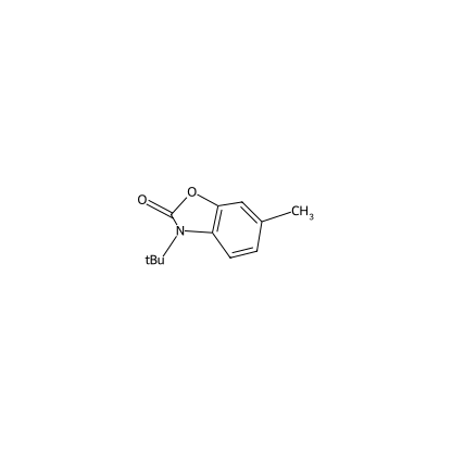 Cc1ccc2c(c1)oc(=O)n2C(C)(C)C